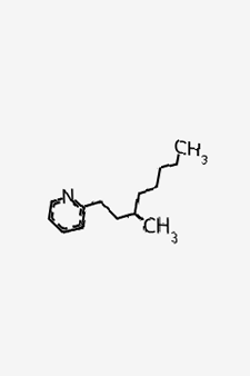 CCCCCC(C)CCc1ccccn1